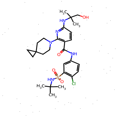 CC(C)(C)NS(=O)(=O)c1cc(NC(=O)c2ccc(NC(C)(C)CO)nc2N2CCC3(CC2)CC3)ccc1Cl